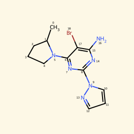 CC1CCCN1c1nc(-n2cccn2)nc(N)c1Br